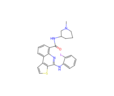 CN1CCCC(NC(=O)c2cccc3c2nc(Nc2ccccc2I)c2sccc23)C1